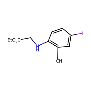 CCOC(=O)CNc1ccc(I)cc1C#N